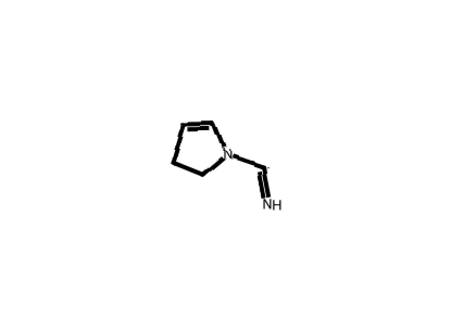 N=[C]N1C=CCC1